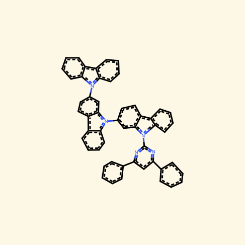 c1ccc(-c2cc(-c3ccccc3)nc(-n3c4ccccc4c4ccc(-n5c6ccccc6c6ccc(-n7c8ccccc8c8ccccc87)cc65)cc43)n2)cc1